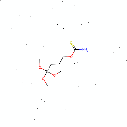 CO[Si](CCCOC(N)=S)(OC)OC